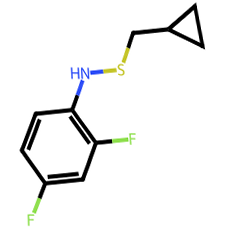 Fc1ccc(NSCC2CC2)c(F)c1